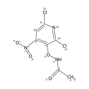 CC(=O)NOc1c([N+](=O)[O-])cc(Cl)nc1Cl